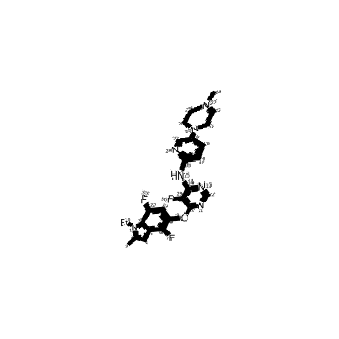 CCn1c(C)cc2c(F)c(Oc3ncnc(Nc4ccc(N5CCN(C)CC5)cn4)c3F)cc(F)c21